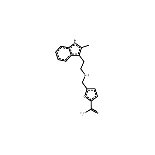 Cc1[nH]c2ccccc2c1CCNCc1ccc(C(=O)C(F)(F)F)o1